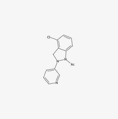 CC(=O)N1c2cccc(Cl)c2CN1c1cccnc1